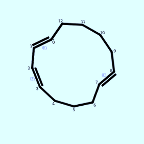 [C]1=C/C=C\CCC/C=C/CCCC/1